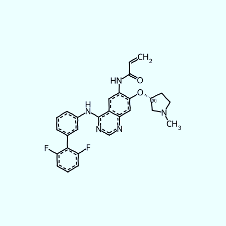 C=CC(=O)Nc1cc2c(Nc3cccc(-c4c(F)cccc4F)c3)ncnc2cc1O[C@@H]1CCN(C)C1